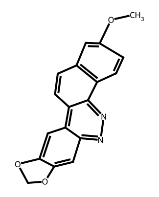 COc1ccc2c(ccc3c4cc5c(cc4nnc23)OCO5)c1